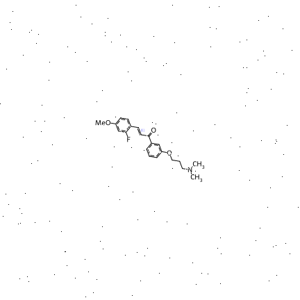 COc1ccc(/C=C/C(=O)c2cccc(OCCCN(C)C)c2)c(F)c1